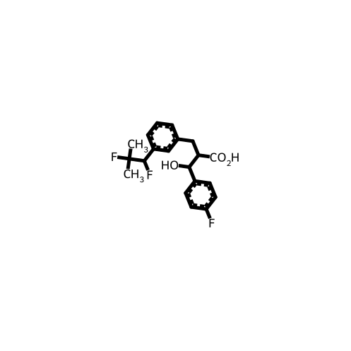 CC(C)(F)C(F)c1cccc(CC(C(=O)O)C(O)c2ccc(F)cc2)c1